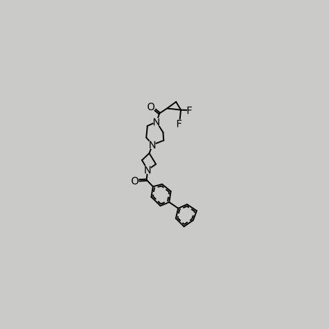 O=C(c1ccc(-c2ccccc2)cc1)N1CC(N2CCN(C(=O)C3CC3(F)F)CC2)C1